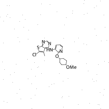 COC1CCC(Oc2ncccc2Nc2ncnc3sc(Cl)c(C)c23)CC1